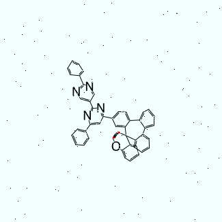 c1ccc(-c2cc(-c3ccc4c(c3)C3(c5ccccc5Oc5ccccc53)c3ccccc3-c3ccccc3-4)nc(-c3cnc(-c4ccccc4)nc3)n2)cc1